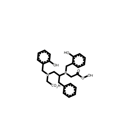 O=C(O)CN(Cc1ccccc1O)CC(Cc1ccccc1)N(CC(=O)OO)Cc1ccccc1O